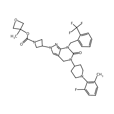 Cc1cccc(F)c1N1CCC(N2Cc3cn(C4CN(C(=O)OC5(C)COC5)C4)nc3N(Cc3ccccc3C(F)(F)F)C2=O)CC1